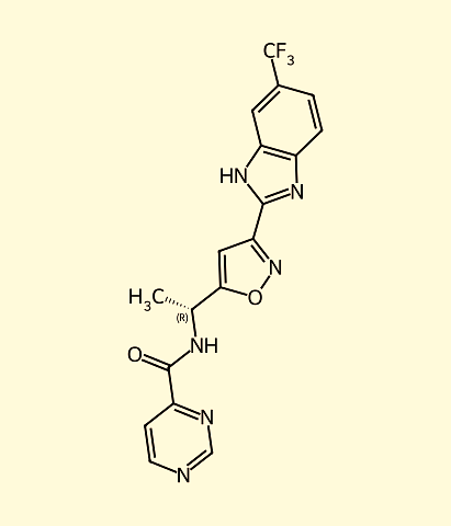 C[C@@H](NC(=O)c1ccncn1)c1cc(-c2nc3ccc(C(F)(F)F)cc3[nH]2)no1